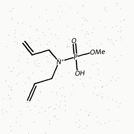 C=CC[N+](CC=C)P(=O)(O)OC